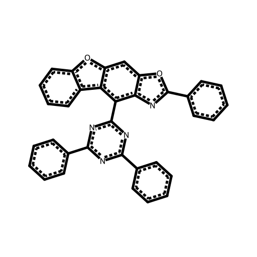 c1ccc(-c2nc(-c3ccccc3)nc(-c3c4nc(-c5ccccc5)oc4cc4oc5ccccc5c34)n2)cc1